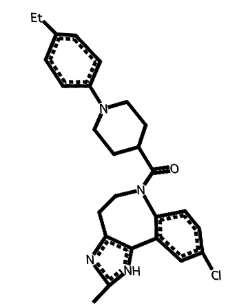 CCc1ccc(N2CCC(C(=O)N3CCc4nc(C)[nH]c4-c4cc(Cl)ccc43)CC2)cc1